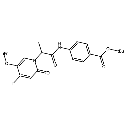 CC(C)Oc1cn(C(C)C(=O)Nc2ccc(C(=O)OC(C)(C)C)cc2)c(=O)cc1I